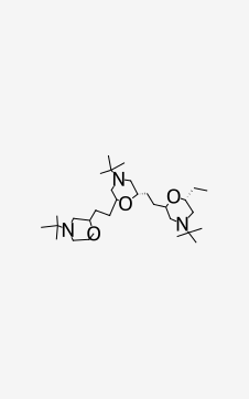 CC[C@@H]1CN(C(C)(C)C)CC(CC[C@H]2CN(C(C)(C)C)CC(CCC3CN(C(C)(C)C)CCO3)O2)O1